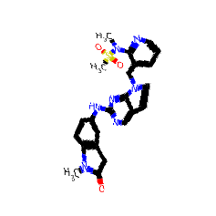 CN1C(=O)Cc2cc(Nc3ncc4ccn(Cc5cccnc5N(C)S(C)(=O)=O)c4n3)ccc21